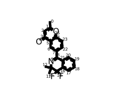 Cc1cc(=O)c2cc(C3=NC(C)(C)C(F)(F)c4ccccc43)ccc2o1